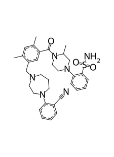 Cc1cc(C)c(C(=O)N2CCN(c3ccccc3S(N)(=O)=O)CC2C)cc1CN1CCCN(c2ccccc2C#N)CC1